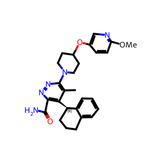 COc1ccc(OC2CCN(c3nnc(C(N)=O)c([C@@H]4CCCc5ccccc54)c3C)CC2)cn1